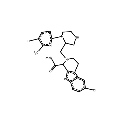 CNC(=O)C1c2[nH]c3ccc(Cl)cc3c2CCN1CC1CNCCN1c1ccc(Cl)c(C(F)(F)F)n1